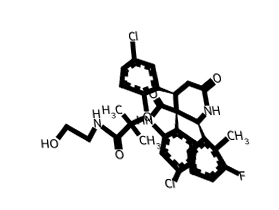 Cc1c(F)cccc1[C@@H]1NC(=O)C[C@H](c2cc(Cl)ccc2OC(C)(C)C(=O)NCCO)[C@@]12C(=O)Nc1cc(Cl)ccc12